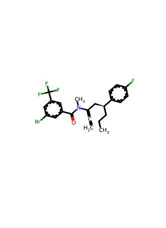 C=C=C(C[C@H](CCC)c1ccc(F)cc1)N(C)C(=O)c1cc(Br)cc(C(F)(F)F)c1